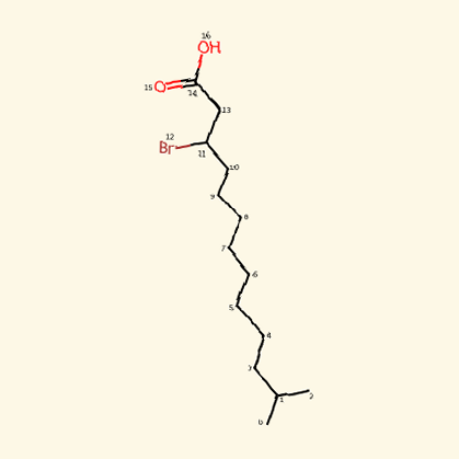 CC(C)CCCCCCCCC(Br)CC(=O)O